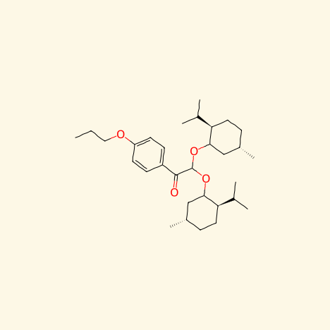 CCCOc1ccc(C(=O)C(OC2C[C@@H](C)CC[C@@H]2C(C)C)OC2C[C@@H](C)CC[C@@H]2C(C)C)cc1